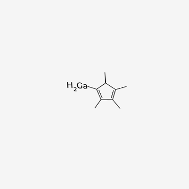 CC1=C(C)C(C)[C]([GaH2])=C1C